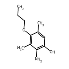 CCCOc1c(C)cc(O)c(N)c1C